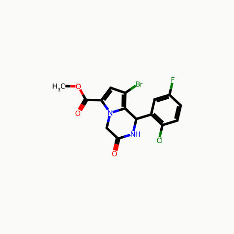 COC(=O)c1cc(Br)c2n1CC(=O)NC2c1cc(F)ccc1Cl